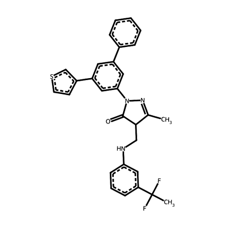 CC1=NN(c2cc(-c3ccccc3)cc(-c3ccsc3)c2)C(=O)C1CNc1cccc(C(C)(F)F)c1